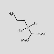 CC[Si](CC)(CCN)C(OC)OC